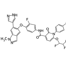 Cn1ncc2cc(Oc3ccc(NC(=O)c4ccc(OC(F)C(F)F)n(-c5ccc(F)cc5)c4=O)cc3F)c(-c3cn[nH]c3)cc21